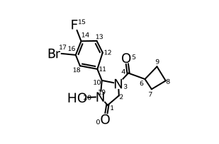 O=C1CN(C(=O)C2CCC2)C(c2ccc(F)c(Br)c2)N1O